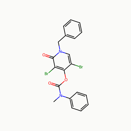 CN(C(=O)Oc1c(Br)cn(Cc2ccccc2)c(=O)c1Br)c1ccccc1